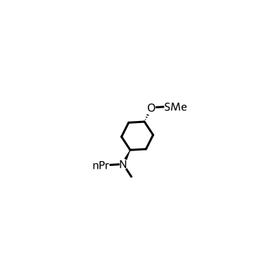 CCCN(C)[C@H]1CC[C@H](OSC)CC1